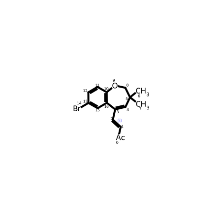 CC(=O)/C=C/C1=CC(C)(C)COc2ccc(Br)cc21